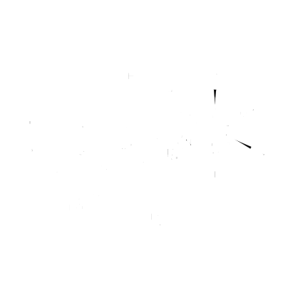 CCCC[N+]1(C)[C@@H]2CC(OC(=O)[C@H](CO)c3ccccc3)C[C@H]1[C@@H]1O[C@@H]12.[Br-]